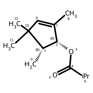 [CH2][C@H]1[C@@H](OC(=O)C(C)C)C(C)=CC1(C)C